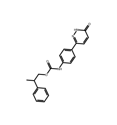 CC(COC(=O)Nc1ccc(-c2ccc(=O)[nH]n2)cc1)c1ccccc1